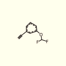 C#Cc1cccc(OC(F)F)c1